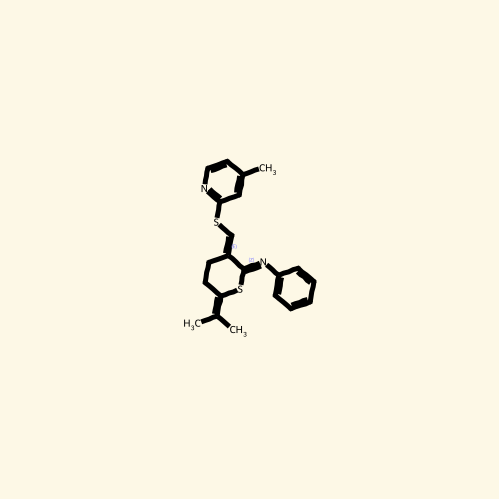 CC(C)=C1CCC(=C\Sc2cc(C)ccn2)/C(=N/c2ccccc2)S1